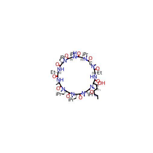 C/C=C/C[C@@H](C)[C@@H](O)[C@H]1C(=O)N[C@@H](CC)C(=O)N(C)CC(=O)N(C)[C@@H](C(C)C)C(=O)N[C@@H](C(C)C)C(=O)N(C)[C@@H](CC(C)C)C(=O)N[C@@H](CC)C(=O)N[C@H](C)C(=O)N(C)[C@@H](CC(C)C)C(=O)N(C)[C@@H](CC(C)C)C(=O)N(C)[C@@H](C(C)C)C(=O)N1C